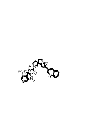 CC(C)(NC(=O)N1CCC2(CCn3nc(-c4cnc5ccccc5c4)cc32)C1)c1ccncc1